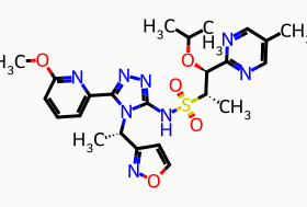 COc1cccc(-c2nnc(NS(=O)(=O)[C@@H](C)[C@@H](OC(C)C)c3ncc(C)cn3)n2[C@@H](C)c2ccon2)n1